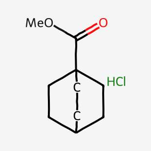 COC(=O)C12CCC(CC1)CC2.Cl